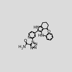 NC(=O)c1nnnn1-c1cc(-c2[nH]c3c(c2Nc2ccccc2)C(=O)CCC3)ccn1